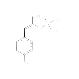 COc1ccc(/C=C(/C)O[Si](C)(C)C)cc1